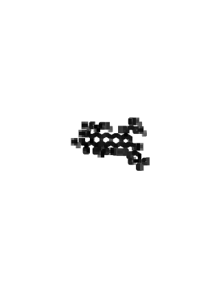 CC(C)Nc1cc(NC(=O)CC(Cl)(Cl)Cl)c(O)c2c1CC1CC3[C@H](N(C)C)C(O)=C(C(N)=O)C(=O)[C@@]3(O)C(O)=C1C2=O